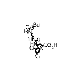 CC(C)(C)OC(=O)NCCCNC(=O)Nc1cc(C(=O)O)nc2cc(Cl)cc(Cl)c12